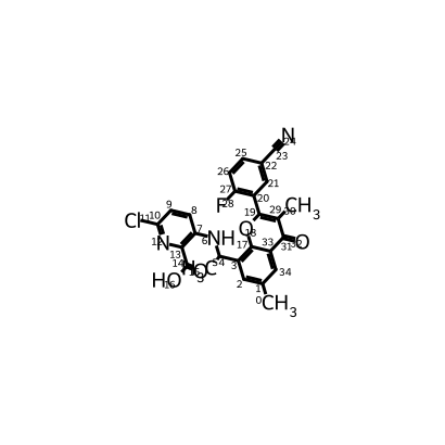 Cc1cc(C(C)Nc2ccc(Cl)nc2C(=O)O)c2oc(-c3cc(C#N)ccc3F)c(C)c(=O)c2c1